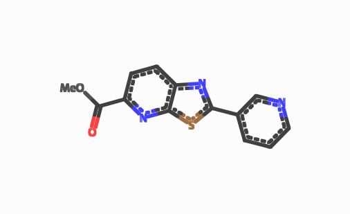 COC(=O)c1ccc2nc(-c3cccnc3)sc2n1